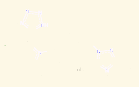 CCCCc1nc(CCC)nn1Cc1ccc(-n2c(Br)cc(Br)c2-c2nnn[nH]2)cc1